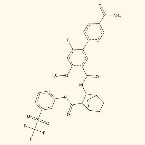 COc1cc(F)c(-c2ccc(C(N)=O)cc2)cc1C(=O)NC1C2CCC(C2)C1C(=O)Nc1cccc(S(=O)(=O)C(F)(F)F)c1